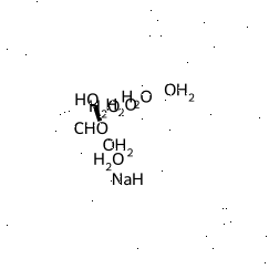 O.O.O.O.O.O.O=CO.[NaH]